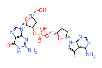 Nc1nc2c(ncn2[C@@H]2O[C@H](CO)CC2OP(=O)(O)OC[C@@H]2CC[C@H](n3cc(F)c4c(N)ncnc43)O2)c(=O)[nH]1